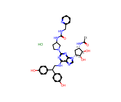 CCC(=O)N[C@H]1C[C@@H](n2cnc3c(NCC(c4ccc(O)cc4)c4ccc(O)cc4)nc(N4CCC(NC(=O)NCc5ccccn5)C4)nc32)[C@H](O)[C@@H]1O.Cl